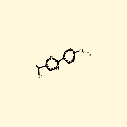 CC(Br)c1cnc(-c2ccc(OC(F)(F)F)cc2)nc1